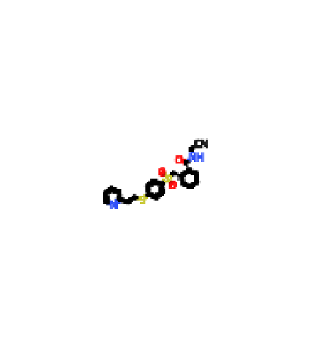 N#CCNC(=O)[C@@H]1CCCC[C@H]1CS(=O)(=O)c1ccc(SCCc2ccccn2)cc1